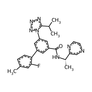 Cc1ccc(-c2cc(C(=O)N[C@@H](C)c3cnccn3)cc(-n3nnnc3C(C)C)c2)c(F)c1